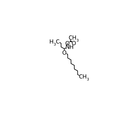 CCCCCCCCCOC(CCC)NOC(C)=O